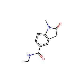 CCNC(=O)c1ccc2c(c1)CC(=O)N2C